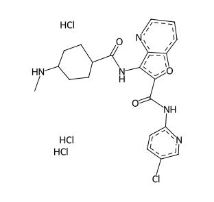 CNC1CCC(C(=O)Nc2c(C(=O)Nc3ccc(Cl)cn3)oc3cccnc23)CC1.Cl.Cl.Cl